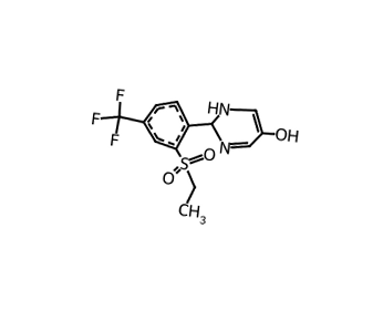 CCS(=O)(=O)c1cc(C(F)(F)F)ccc1C1N=CC(O)=CN1